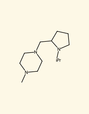 CC(C)N1CCCC1CN1CCN(C)CC1